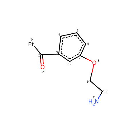 CCC(=O)c1cccc(OCCN)c1